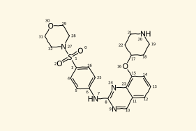 O=S(=O)(c1ccc(Nc2ncc3cccc(OC4CCNCC4)c3n2)cc1)N1CCOCC1